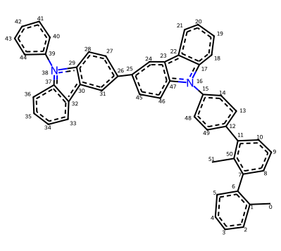 Cc1ccccc1-c1cccc(-c2ccc(-n3c4ccccc4c4cc(-c5ccc6c(c5)c5ccccc5n6-c5ccccc5)ccc43)cc2)c1C